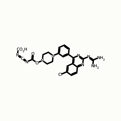 NC(N)=Nc1nc(-c2cccc(N3CCN(OC(=O)N=C=NC(=O)O)CC3)c2)c2cc(Cl)ccc2n1